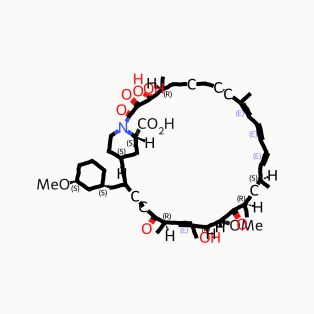 CO[C@H]1CCC[C@@H](CC2CCC(=O)[C@H](C)/C=C(\C)[C@@H](O)[C@@H](OC)C(=O)[C@H](C)C[C@H](C)/C=C/C=C/C=C(\C)CCCCC[C@@H](C)C(O)(O)C(=O)C(=O)N3CC[C@H]2C[C@H]3C(=O)O)C1